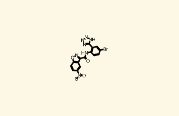 O=C(Nc1ccc(Br)cc1-c1nnn[nH]1)c1noc2ccc([N+](=O)[O-])cc12